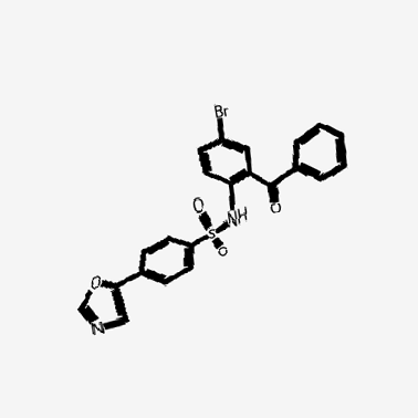 O=C(c1ccccc1)c1cc(Br)ccc1NS(=O)(=O)c1ccc(-c2cnco2)cc1